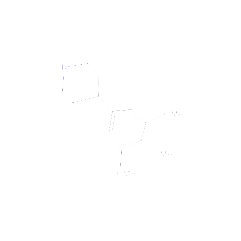 COc1cc(C2CC[N]CC2)cc(OC)c1OC